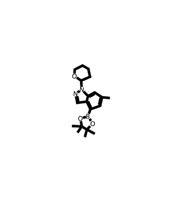 Cc1cc(B2OC(C)(C)C(C)(C)O2)c2cnn(C3CCCCO3)c2c1